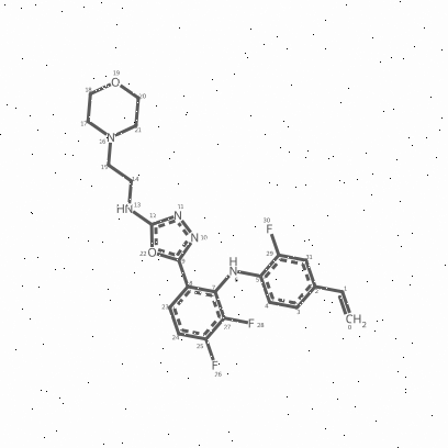 C=Cc1ccc(Nc2c(-c3nnc(NCCN4CCOCC4)o3)ccc(F)c2F)c(F)c1